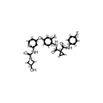 O=C(Nc1cc(Oc2ccc(NC(=O)C3(C(=O)Nc4ccc(F)cc4)CC3)c(F)c2)ccn1)N1CC(O)C1